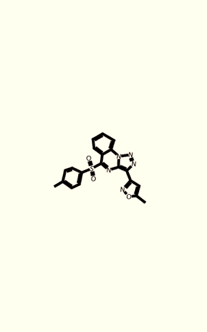 Cc1ccc(S(=O)(=O)c2nc3c(-c4cc(C)on4)nnn3c3ccccc23)cc1